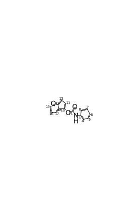 O=C(Nc1ccccc1)Oc1ccc2occcc1-2